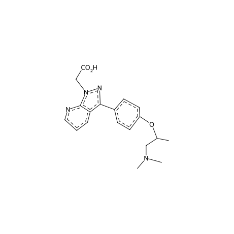 CC(CN(C)C)Oc1ccc(-c2nn(CC(=O)O)c3ncccc23)cc1